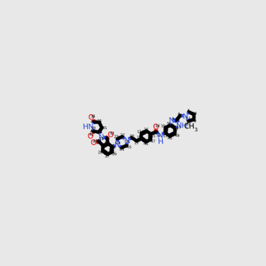 C[C@H]1CCCN1Cc1nc2cc(NC(=O)c3ccc(CCN4CCN(c5cccc6c5C(=O)N(C5CCC(=O)NC5=O)C6=O)CC4)cc3)ccc2[nH]1